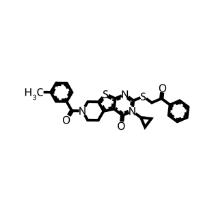 Cc1cccc(C(=O)N2CCc3c(sc4nc(SCC(=O)c5ccccc5)n(C5CC5)c(=O)c34)C2)c1